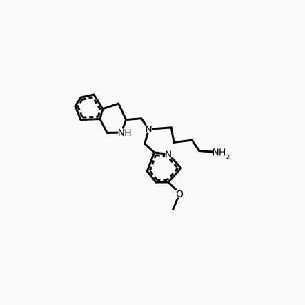 COc1ccc(CN(CCCCN)CC2Cc3ccccc3CN2)nc1